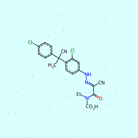 CCN(C(=O)O)C(=O)/C(C#N)=N/Nc1ccc(C(C)(C#N)c2ccc(Cl)cc2)c(Cl)c1